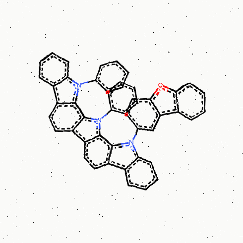 c1ccc(-n2c3ccccc3c3ccc4c5ccc6c7ccccc7n(-c7ccc8oc9ccccc9c8c7)c6c5n(-c5ccccc5)c4c32)cc1